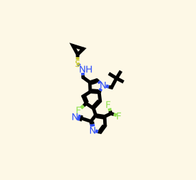 CC(C)(C)Cn1cc(CNSC2CC2)c2cc(F)c(-c3c(C(F)F)ccnc3C#N)cc21